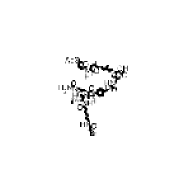 CC(=O)O[C@@H](C)/C=C\C(=O)N[C@@H]1C[C@H](C)[C@H](C/C=C(C)/C=C/[C@H]2O[C@H](CNC(=O)OCc3ccc(NC(=O)[C@H](CCCNC(N)=O)NC(=O)[C@@H](NC(=O)CCCCCNC(=O)CBr)C(C)C)cc3)C[C@@]3(CO3)[C@@H]2O)O[C@@H]1C